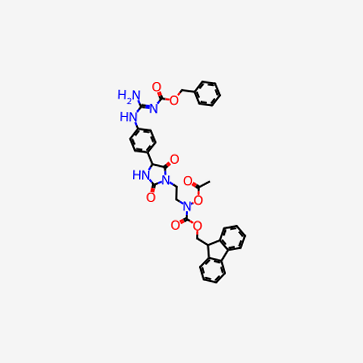 CC(=O)ON(CCN1C(=O)NC(c2ccc(NC(N)=NC(=O)OCc3ccccc3)cc2)C1=O)C(=O)OCC1c2ccccc2-c2ccccc21